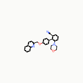 N#Cc1cccc(N2CCOCC2)c1-c1ccc(OCc2ccc3ccccc3n2)cc1